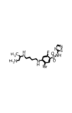 CC(CN)NCCCCNc1cc(F)c(S(=O)(=O)Nc2ncns2)cc1Br